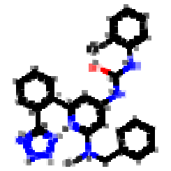 CCCN(Cc1ccccc1)c1cc(NC(O)Nc2ccccc2C(F)(F)F)cc(-c2ccccc2-c2nnn[nH]2)n1